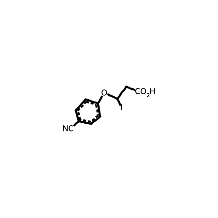 N#Cc1ccc(OC(I)CC(=O)O)cc1